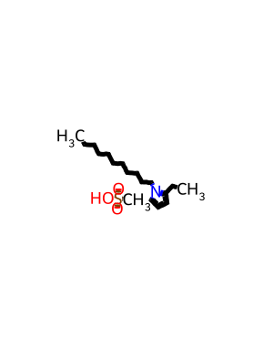 CCCCCCCCCCCn1cccc1CC.CS(=O)(=O)O